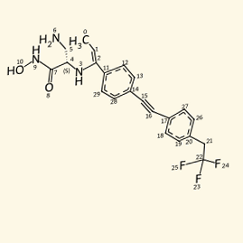 CC=C(N[C@@H](CN)C(=O)NO)c1ccc(C#Cc2ccc(CC(F)(F)F)cc2)cc1